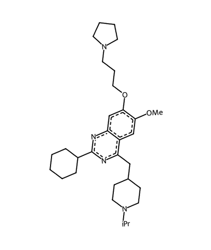 COc1cc2c(CC3CCN(C(C)C)CC3)nc(C3CCCCC3)nc2cc1OCCCN1CCCC1